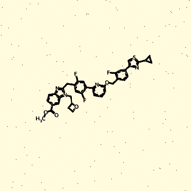 COC(=O)c1ccc2nc(Cc3cc(F)c(-c4cccc(OCc5ccc(-c6csc(C7CC7)n6)cc5F)n4)cc3F)n(C[C@@H]3CCO3)c2c1